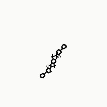 CC1(C)c2cc3c(cc2-c2oc4cc(-c5ccccc5)ccc4c21)C(C)(C)c1c-3oc2cc(-c3ccccc3)ccc12